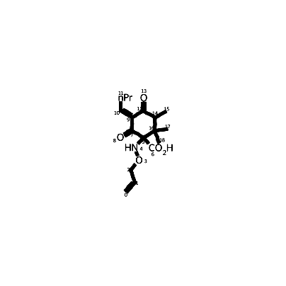 C=CCONC1(C(=O)O)C(=O)C(=CCCC)C(=O)C(C)C1(C)C